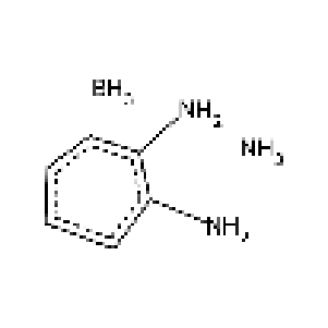 B.N.Nc1ccccc1N